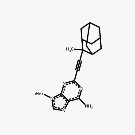 CCCCCCn1cnc2c(N)nc(C#CC3(C)C4CC5CC(C4)CC3C5)nc21